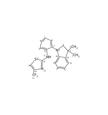 CC1(C)CN(c2ccccc2Nc2nc(C(F)(F)F)cs2)c2ccccc21